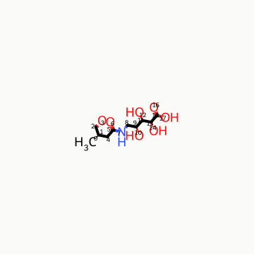 C[C@H](C=O)CC(=O)NC[C@H](O)[C@@H](O)[C@H](O)C(=O)O